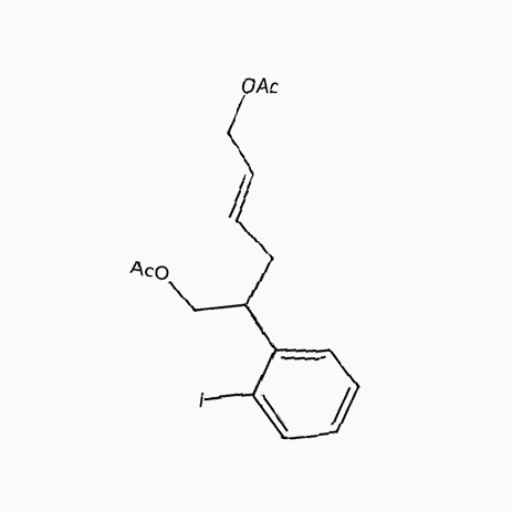 CC(=O)OCC=CCC(COC(C)=O)c1ccccc1I